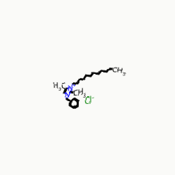 CCCCCCCCCCCC[n+]1c(C)cn(Cc2ccccc2)c1C.[Cl-]